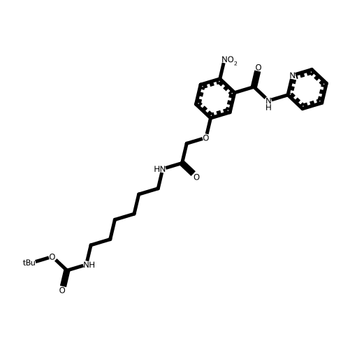 CC(C)(C)OC(=O)NCCCCCCNC(=O)COc1ccc([N+](=O)[O-])c(C(=O)Nc2ccccn2)c1